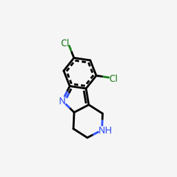 Clc1cc(Cl)c2c(c1)=NC1CCNCC=21